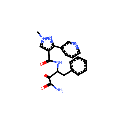 Cn1cc(C(=O)NC(Cc2ccccc2)C(=O)C(N)=O)c(-c2cccnc2)n1